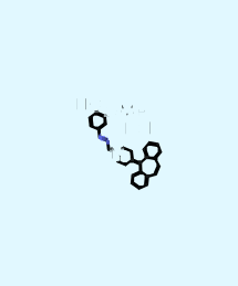 COc1cc(/C=C/CN2CCC(=C3c4ccccc4C=Cc4ccccc43)CC2)ccc1O.Cl